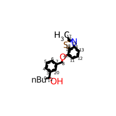 CCCCC(O)c1cccc(COc2cccc3nc(C)sc23)c1